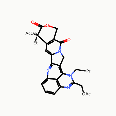 CC[C@@]1(OC(C)=O)C(=O)OCc2c1cc1n(c2=O)Cc2c-1nc1cccc3c1c2N(CC(C)C)C(COC(C)=O)=N3